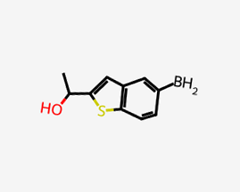 Bc1ccc2sc(C(C)O)cc2c1